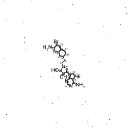 Nc1nc2cc(CC[C@H]3S[C@@H](n4cc(F)c5c(N)ncnc54)[C@H](O)[C@@H]3O)ccc2cc1Br